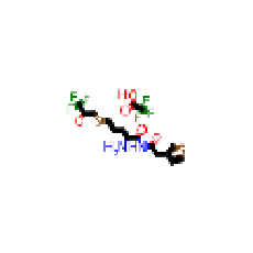 N[C@@H](CCCSCC(=O)C(F)(F)F)C(=O)NC(=O)Cc1ccsc1.O=C(O)C(F)(F)F